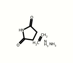 C=C.N.N.O=C1CCC(=O)N1